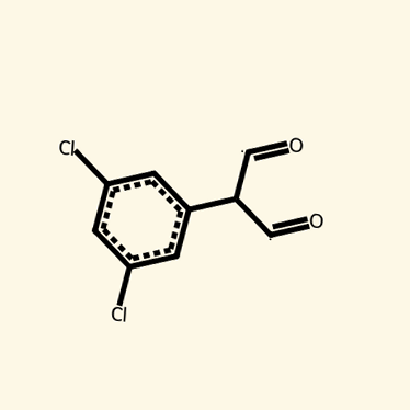 O=[C]C([C]=O)c1cc(Cl)cc(Cl)c1